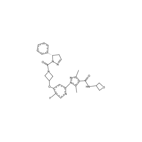 Cc1nn(-c2cc(OC3CN(C(=O)N4N=CC[C@H]4c4ccccc4)C3)c(F)cn2)c(C)c1C(=O)NC1COC1